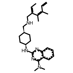 C=C/C(C)=C(C)\C(=C/C)CNC[C@H]1CC[C@@H](Nc2nc(N(C)C)c3ccccc3n2)CC1